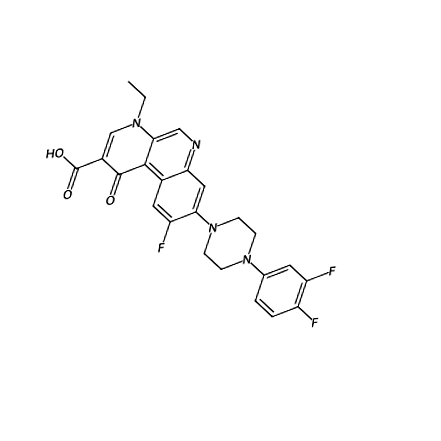 CCn1cc(C(=O)O)c(=O)c2c3cc(F)c(N4CCN(c5ccc(F)c(F)c5)CC4)cc3ncc21